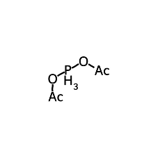 CC(=O)O[PH3]OC(C)=O